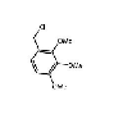 COc1ccc(CCl)c(OC)c1OC